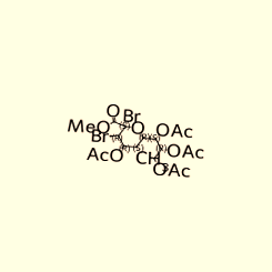 COC(=O)[C@@]1(Br)O[C@@H]([C@H](OC(C)=O)[C@@H](COC(C)=O)OC(C)=O)[C@H](C)[C@@H](OC(C)=O)[C@H]1Br